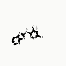 Cc1cc(Cl)nnc1Nc1nc2cccnc2s1